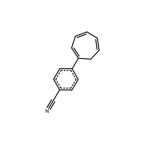 N#Cc1ccc(C2=CC=CC=CC2)cc1